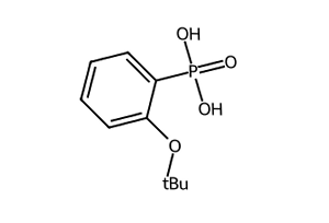 CC(C)(C)Oc1ccccc1P(=O)(O)O